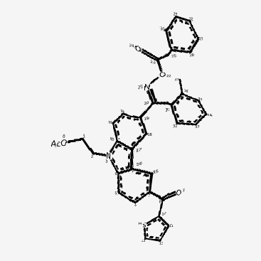 CC(=O)OCCn1c2ccc(C(=O)c3cccs3)cc2c2cc(/C(=N/OC(=O)c3ccccc3)c3ccccc3C)ccc21